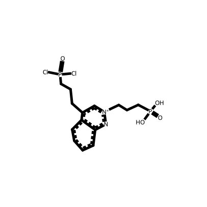 O=P(O)(O)CCC[n+]1cc(CCCP(=O)(Cl)Cl)c2ccccc2n1